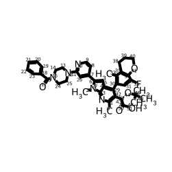 Cc1nc2c(cc(-c3ccnc(N4CCN(C(=O)c5ccccc5)CC4)c3)n2C)c(-c2cc(F)c3c(c2C)CCCO3)c1[C@H](OC(C)(C)C)C(=O)O